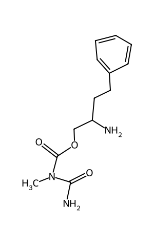 CN(C(N)=O)C(=O)OCC(N)CCc1ccccc1